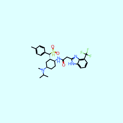 Cc1ccc(C([C@H]2C[C@H](N(C)C(C)C)CC[C@@H]2NC(=O)Cc2nc3c(C(F)(F)F)cccc3[nH]2)[SH](=O)=O)cc1